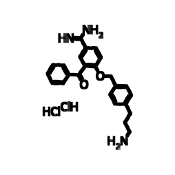 Cl.Cl.N=C(N)c1ccc(OCc2ccc(CCCN)cc2)c(C(=O)c2ccccc2)c1